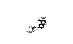 COC(=O)c1ccnc2ccc(OCC(=O)OC(C)(C)C)cc12